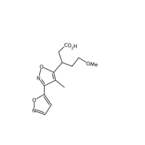 COCCC(CC(=O)O)c1onc(-c2ccno2)c1C